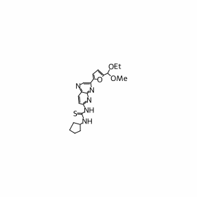 CCOC(OC)c1ccc(-c2cnc3ccc(NC(=S)NC4CCCC4)nc3n2)o1